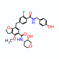 COc1c(C(=O)N[C@H]2CCOC[C@@H]2O)cc(Cc2ccc(C(=O)NCc3ccc(O)cc3)c(F)c2)c2c1CCO2